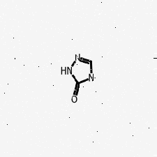 O=C1[N]C=NN1